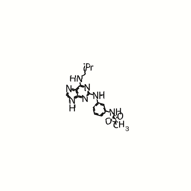 CC(C)CNc1nc(Nc2cccc(NS(C)(=O)=O)c2)nc2[nH]cnc12